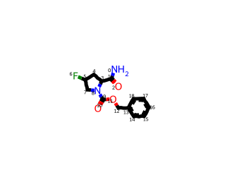 NC(=O)C1CC(F)CN1C(=O)OCc1ccccc1